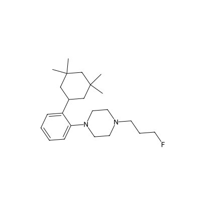 CC1(C)CC(c2ccccc2N2CCN(CCCF)CC2)CC(C)(C)C1